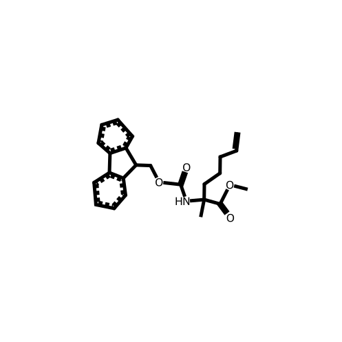 C=CCCCC(C)(NC(=O)OCC1c2ccccc2-c2ccccc21)C(=O)OC